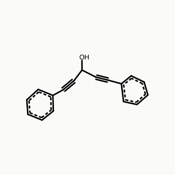 OC(C#Cc1ccccc1)C#Cc1ccccc1